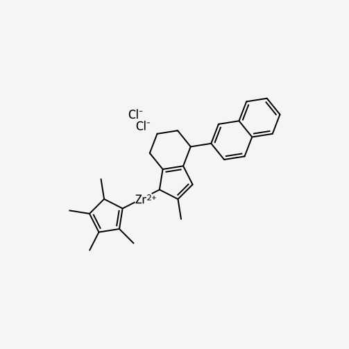 CC1=CC2=C(CCCC2c2ccc3ccccc3c2)[CH]1[Zr+2][C]1=C(C)C(C)=C(C)C1C.[Cl-].[Cl-]